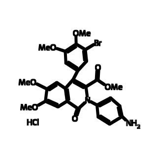 COC(=O)c1c(-c2cc(Br)c(OC)c(OC)c2)c2cc(OC)c(OC)cc2c(=O)n1-c1ccc(N)cc1.Cl